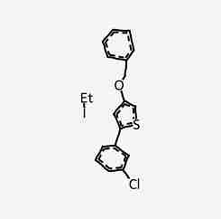 CCI.Clc1cccc(-c2cc(OCc3ccccc3)cs2)c1